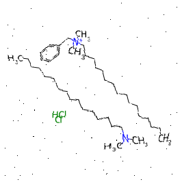 CCCCCCCCCCCCCCCCN(C)C.CCCCCCCCCCCCCCCC[N+](C)(C)Cc1ccccc1.Cl.[Cl-]